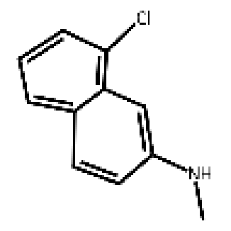 CNc1ccc2cccc(Cl)c2c1